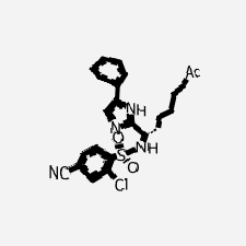 CC(=O)CCCCC[C@H](NS(=O)(=O)c1ccc(C#N)cc1Cl)c1ncc(-c2ccccc2)[nH]1